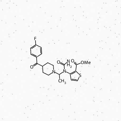 COC(=O)c1sccc1N(C(N)=O)C(C)N1CCC(C(=O)c2ccc(F)cc2)CC1